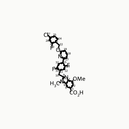 COc1cc(C(=O)O)cc2c1nc(Cc1cc(F)c(-c3cccc(OCc4ccc(Cl)cc4F)n3)cc1F)n2C